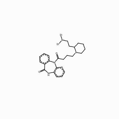 CCN(CC)CCC1CCCCN1CCCC(=O)N1c2ccccc2C(=O)Nc2cccnc21